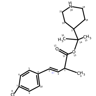 CC(/C=C/c1ccc(Cl)cc1)C(=O)OC(C)(C)C1CCNCC1